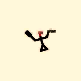 C#CCC(O)(CCCCCC)C1CC1